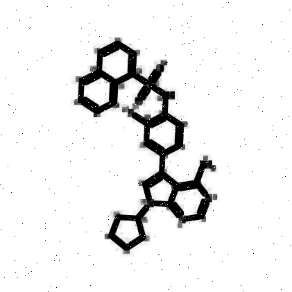 Nc1ncnc2c1c(-c1ccc(NS(=O)(=O)c3cccc4ccccc34)c(F)c1)cn2C1CCCC1